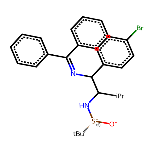 CC(C)C(N[S@+]([O-])C(C)(C)C)C(N=C(c1ccccc1)c1ccccc1)c1ccc(Br)cc1